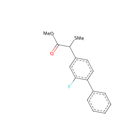 COC(=O)C(SC)c1ccc(-c2ccccc2)c(F)c1